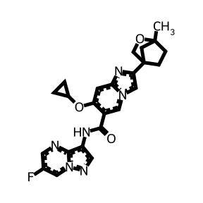 CC12CCC(c3cn4cc(C(=O)Nc5cnn6cc(F)cnc56)c(OC5CC5)cc4n3)(CO1)C2